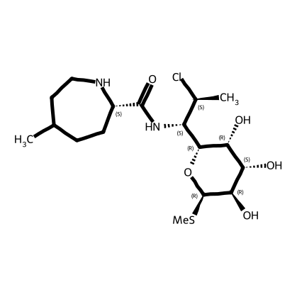 CS[C@H]1O[C@H]([C@H](NC(=O)[C@@H]2CCC(C)CCN2)[C@H](C)Cl)[C@H](O)[C@H](O)[C@H]1O